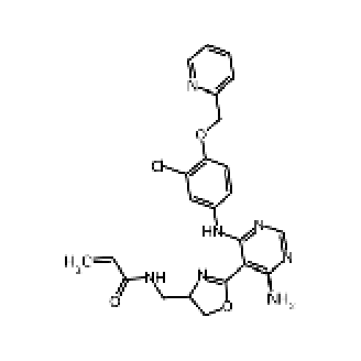 C=CC(=O)NCC1COC(c2c(N)ncnc2Nc2ccc(OCc3ccccn3)c(Cl)c2)=N1